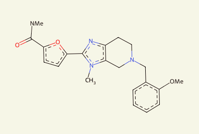 CNC(=O)c1ccc(-c2nc3c(n2C)CN(Cc2ccccc2OC)CC3)o1